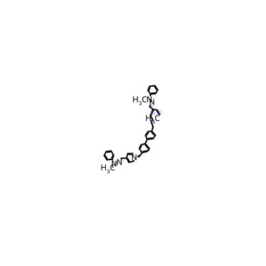 C\C=C/C(/C=N/N(C)c1ccccc1)=C\C=C\Cc1ccc(-c2ccc(C[n+]3ccc(/C=N/N(C)c4ccccc4)cc3)cc2)cc1